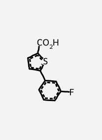 O=C(O)c1ccc(-c2cccc(F)c2)s1